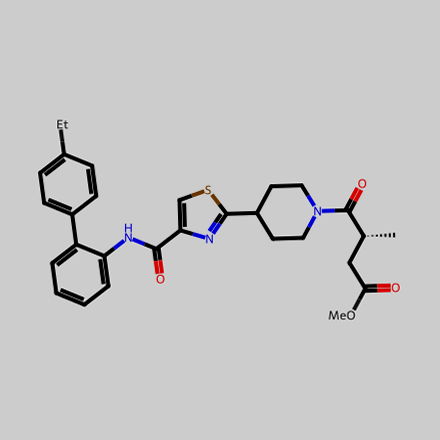 CCc1ccc(-c2ccccc2NC(=O)c2csc(C3CCN(C(=O)[C@H](C)CC(=O)OC)CC3)n2)cc1